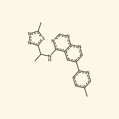 Cc1ccc(-c2cnc3ncnc(NC(C)c4nnc(C)s4)c3c2)nc1